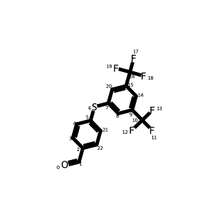 O=Cc1ccc(Sc2cc(C(F)(F)F)cc(C(F)(F)F)c2)cc1